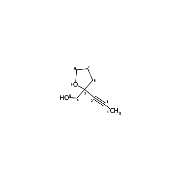 CC#CC1(CO)CCCO1